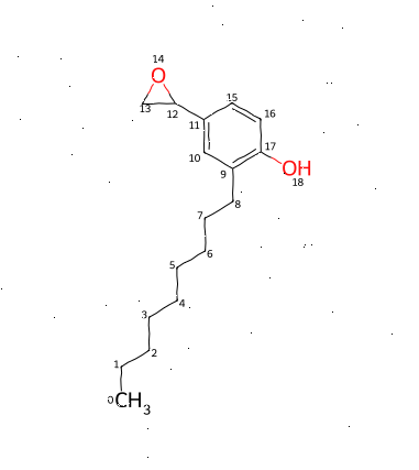 CCCCCCCCCc1cc(C2CO2)ccc1O